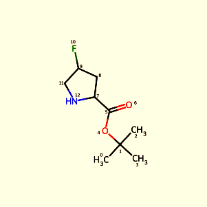 CC(C)(C)OC(=O)C1CC(F)CN1